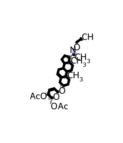 C#CCO/N=C(\C)[C@H]1CCC2C3CC=C4C[C@@H](OC5C=C[C@H](OC(C)=O)[C@@H](COC(C)=O)O5)CC[C@]4(C)C3CC[C@@]21C